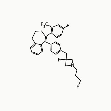 FCCCN1CC(F)(Cc2ccc(C3=C(c4ccc(F)cc4C(F)(F)F)CCCc4ccccc43)cc2)C1